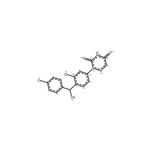 N#CC(c1ccc(Cl)cc1)c1ccc(-n2ncc(=O)[nH]c2=O)cc1Cl